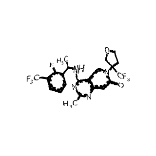 Cc1nc(N[C@H](C)c2cccc(C(F)(F)F)c2F)c2cn(C3(C(F)(F)F)CCOC3)c(=O)cc2n1